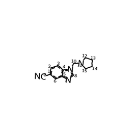 N#Cc1ccc2c(c1)ncn2CN1CCCC1